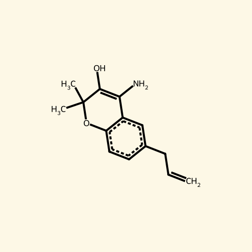 C=CCc1ccc2c(c1)C(N)=C(O)C(C)(C)O2